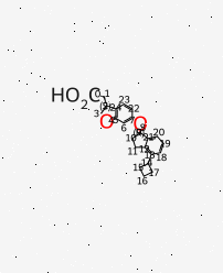 O=C(O)C[C@@H]1COc2cc(O[C@@H]3CCc4c(C5CCC5)cccc43)ccc21